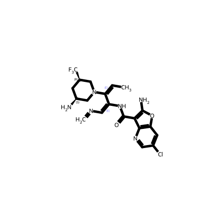 C=N/C=C(NC(=O)c1c(N)oc2cc(Cl)cnc12)\C(=C/C)N1C[C@@H](N)C[C@@H](C(F)(F)F)C1